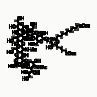 CCCCCCCCCCCCC/C=C/[C@@H](O)[C@H](CO[C@@H]1OC(CO)[C@@H](O[C@@H]2OC(CO)[C@H](O[C@@H]3OC(CO)[C@H](O)[C@H](O)C3NC(C)=O)[C@H](O[C@H]3OC(CO)[C@H](O)[C@H](O[C@@H]4OC(CO)[C@@H](O[C@@H]5OC(CO)[C@H](O)[C@H](O[C@]6(C(=O)O)CC(O)[C@@H](NC(C)=O)C([C@H](O)[C@H](O)CO)O6)C5O)[C@H](O)C4NC(C)=O)C3O)C2O)[C@H](O)C1O)NC(=O)CCCCCCCCCCCCCCCCCCC